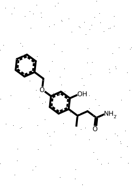 CC(CC(N)=O)c1ccc(OCc2ccccc2)cc1O